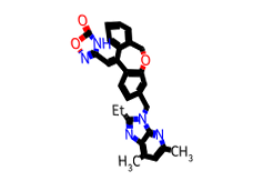 CCc1nc2c(C)cc(C)nc2n1Cc1ccc2c(c1)OCc1ccccc1/C2=C\c1noc(=O)[nH]1